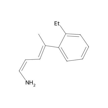 CCc1ccccc1/C(C)=C/C=C\N